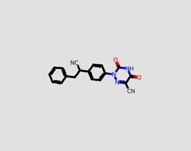 N#Cc1nn(-c2ccc(C(C#N)Cc3ccccc3)cc2)c(=O)[nH]c1=O